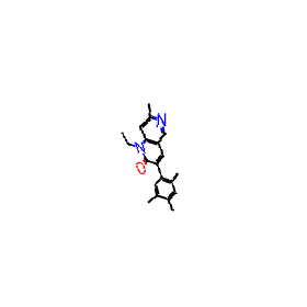 CCn1c(=O)c(-c2cc(C)c(C)cc2C)cc2cnc(C)cc21